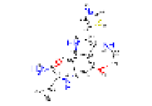 NC(=O)[C@@H](Nc1cc2c3c(c(-c4cncs4)[nH]c3c1)NCCO2)C1CC1